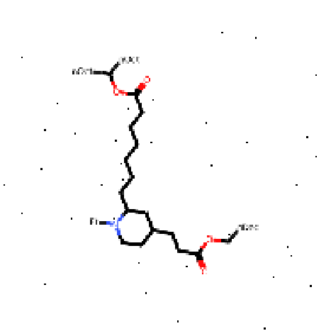 CCCCCCCCCCCOC(=O)CCC1CCN(CC)C(CCCCCCC(=O)OC(CCCCCCCC)CCCCCCCC)C1